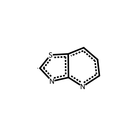 [c]1nc2ncccc2s1